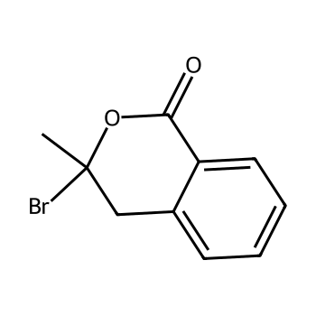 CC1(Br)Cc2ccccc2C(=O)O1